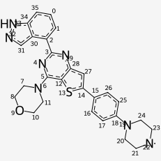 c1cc(-c2nc(N3CCOCC3)c3sc(-c4ccc(N5CC[N]CC5)cc4)cc3n2)c2cn[nH]c2c1